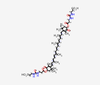 CC1=C(/C=C/C(C)=C/C=C/C(C)=C/C=C/C=C(C)/C=C/C=C(C)/C=C/C2=C(C)C(=O)C(OC(=O)CCNC(=O)NCCC(=O)O)CC2(C)C)C(C)(C)CC(OC(=O)CCNC(=O)NCCC(=O)O)C1=O